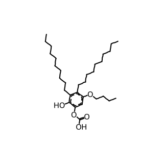 CCCCCCCCCCc1c(OCCCC)cc(OC(=O)O)c(O)c1CCCCCCCCCC